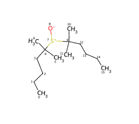 CCCCC(C)(C)[S+]([O-])C(C)(C)CCCC